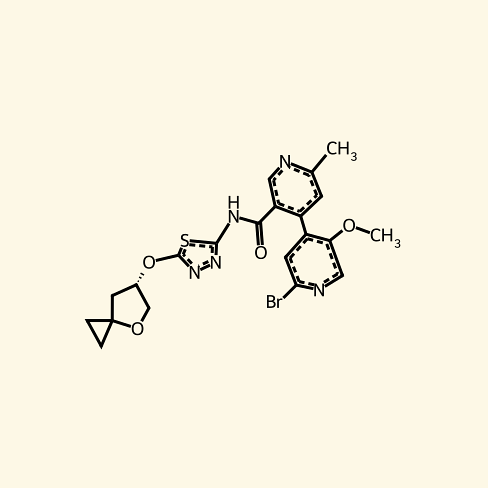 COc1cnc(Br)cc1-c1cc(C)ncc1C(=O)Nc1nnc(O[C@@H]2COC3(CC3)C2)s1